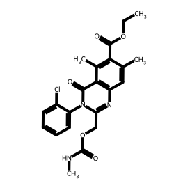 CCOC(=O)c1c(C)cc2nc(COC(=O)NC)n(-c3ccccc3Cl)c(=O)c2c1C